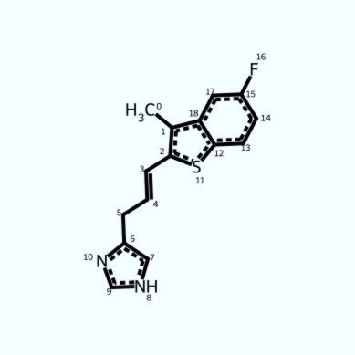 Cc1c(/C=C/Cc2c[nH]cn2)sc2ccc(F)cc12